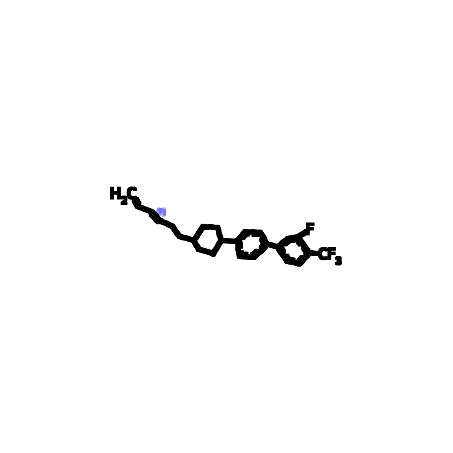 C=C/C=C/CCC1CCC(c2ccc(-c3ccc(C(F)(F)F)c(F)c3)cc2)CC1